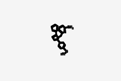 CCCOc1ccc(-c2ccc(-c3ccccc3)n2Cc2cccc(N)n2)cc1